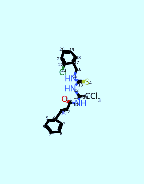 O=C(/C=C/c1ccccc1)NC(NC(=S)NCc1ccccc1Cl)C(Cl)(Cl)Cl